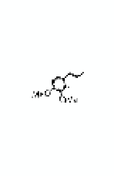 C/C=C/c1[c]c(OC)c(OC)cc1